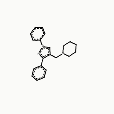 c1ccc(-c2nn(-c3ccccc3)cc2CN2CCCCC2)cc1